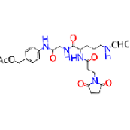 CC(=O)OCc1ccc(NC(=O)CNC(=O)C(CCCNC=O)NC(=O)CCN2C(=O)C=CC2=O)cc1